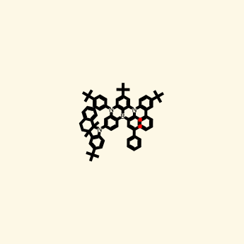 CC(C)(C)c1ccc(N2c3cc(N4c5ccc(C(C)(C)C)cc5C5(C)CCc6ccccc6C45C)ccc3B3c4cc(-c5ccccc5)ccc4N(c4ccc(C(C)(C)C)cc4-c4ccccc4)c4cc(C(C)(C)C)cc2c43)cc1